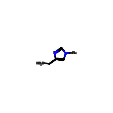 CCC(C)n1cnc(CC(=O)O)c1